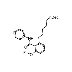 CCCCCCCCCCCCCCCc1cccc(OC(C)C)c1C(=O)Nc1ccncc1